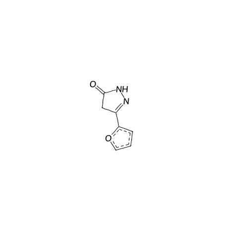 O=C1CC(c2ccco2)=NN1